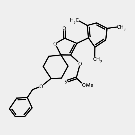 COC(=S)OC1=C(c2c(C)cc(C)cc2C)C(=O)OC12CCC(OCc1ccccc1)CC2